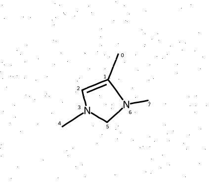 CC1=CN(C)CN1C